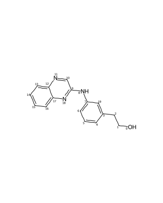 OCCc1cccc(Nc2cnc3ccccc3n2)c1